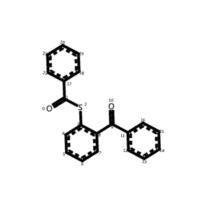 O=C(Sc1ccccc1C(=O)c1ccccc1)c1ccccc1